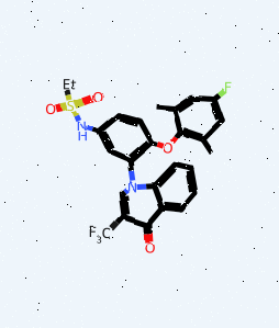 CCS(=O)(=O)Nc1ccc(Oc2c(C)cc(F)cc2C)c(-n2cc(C(F)(F)F)c(=O)c3ccccc32)c1